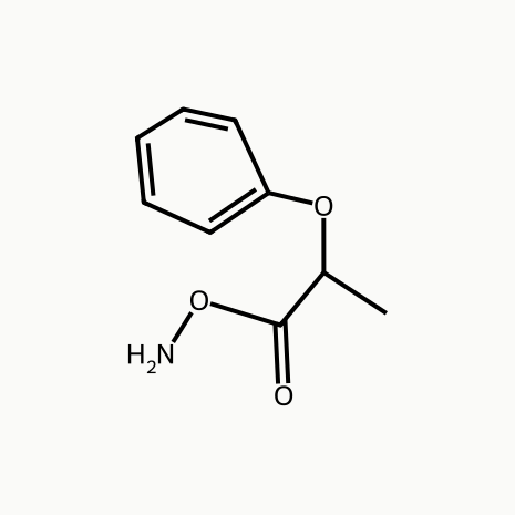 CC(Oc1ccccc1)C(=O)ON